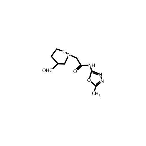 Cc1nnc(NC(=O)CN2CCCC(C=O)C2)o1